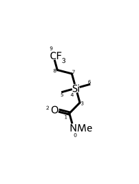 CNC(=O)C[Si](C)(C)CCC(F)(F)F